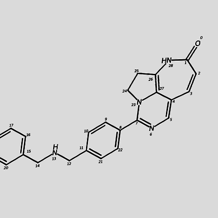 O=C1C=CC2=CN=C(c3ccc(CNCc4ccccc4)cc3)N3CCC(=C23)N1